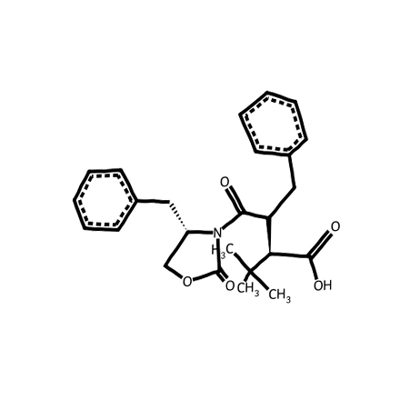 CC(C)(C)[C@H](C(=O)O)C(Cc1ccccc1)C(=O)N1C(=O)OC[C@@H]1Cc1ccccc1